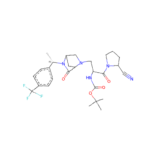 C[C@@H](c1ccc(C(F)(F)F)cc1)N1C(=O)C2CC1CN2CC(NC(=O)OC(C)(C)C)C(=O)N1CCCC1C#N